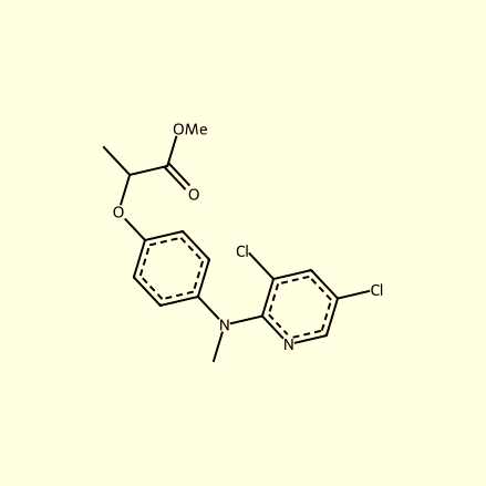 COC(=O)C(C)Oc1ccc(N(C)c2ncc(Cl)cc2Cl)cc1